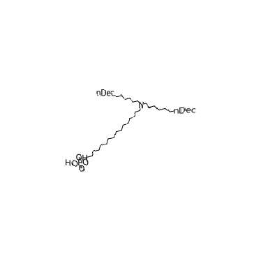 CCCCCCCCCCCCCCCCN(CCCCCCCCCCCCCCCC)CCCCCCCCCCCCCCCCOP(=O)(O)O